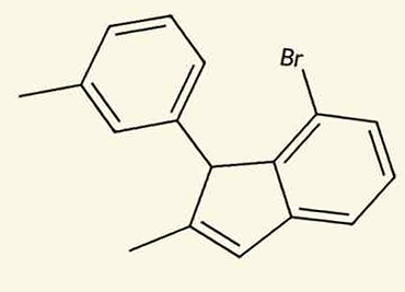 CC1=Cc2cccc(Br)c2C1c1cccc(C)c1